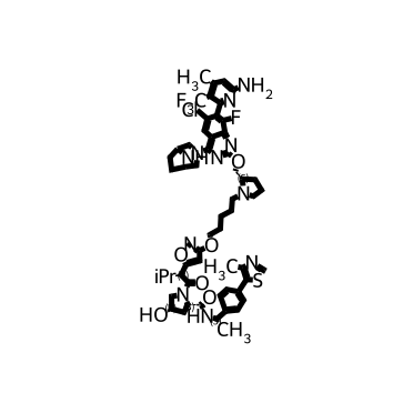 Cc1cc(N)nc(-c2c(Cl)cc3c(N4CC5CCC(C4)N5)nc(OC[C@@H]4CCCN4CCCCCOc4cc([C@H](C(=O)N5C[C@H](O)C[C@H]5C(=O)N[C@@H](C)c5ccc(-c6scnc6C)cc5)C(C)C)on4)nc3c2F)c1C(F)(F)F